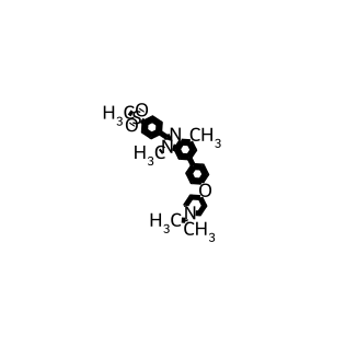 Cc1cc(-c2ccc(OC3CCN(C(C)C)CC3)cc2)cc2c1nc(-c1ccc(S(C)(=O)=O)cc1)n2C